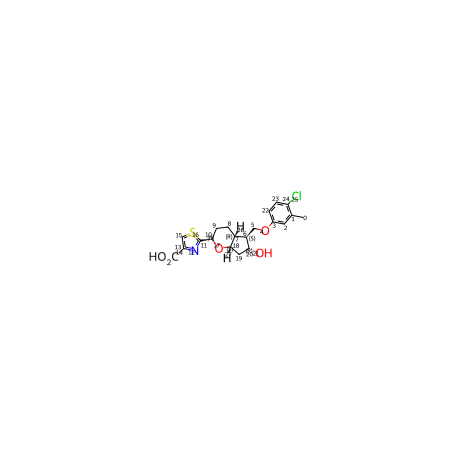 Cc1cc(OC[C@@H]2[C@H]3CC[C@H](c4nc(C(=O)O)cs4)O[C@H]3C[C@H]2O)ccc1Cl